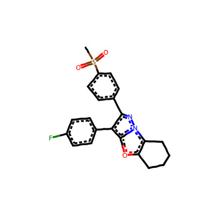 CS(=O)(=O)c1ccc(-c2nn3c4c(oc3c2-c2ccc(F)cc2)CCCC4)cc1